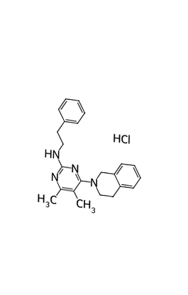 Cc1nc(NCCc2ccccc2)nc(N2CCc3ccccc3C2)c1C.Cl